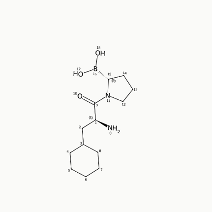 N[C@@H](CC1CCCCC1)C(=O)N1CCC[C@H]1B(O)O